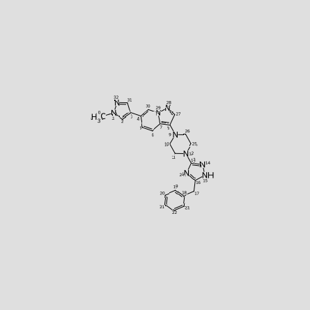 Cn1cc(-c2ccc3c(N4CCN(c5n[nH]c(Cc6ccccc6)n5)CC4)cnn3c2)cn1